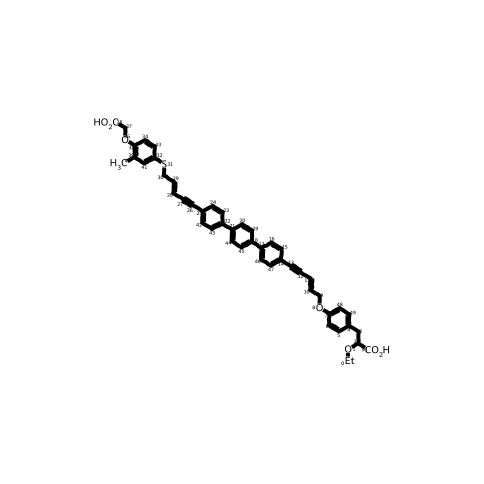 CCOC(Cc1ccc(OCC=CC#Cc2ccc(-c3ccc(-c4ccc(C#CC=CCSc5ccc(OCC(=O)O)c(C)c5)cc4)cc3)cc2)cc1)C(=O)O